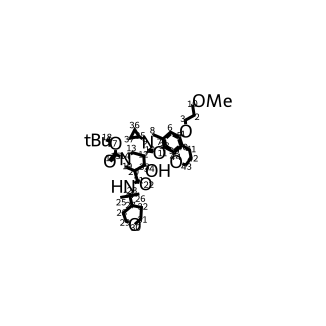 COCCCOc1cc(CN(C(=O)[C@H]2CN(C(=O)OC(C)(C)C)CC(C(=O)NC(C)(C)C3CCOCC3)[C@H]2O)C2CC2)cc2c1CCCO2